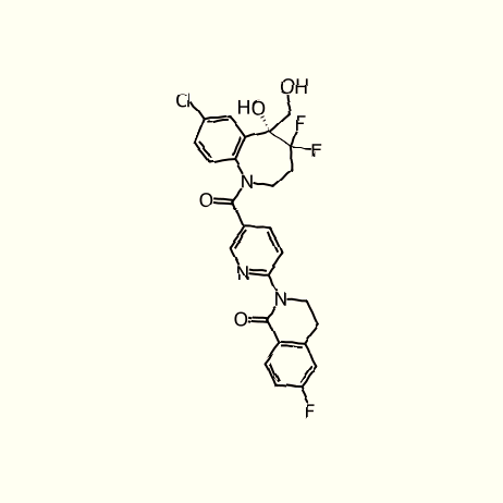 O=C1c2ccc(F)cc2CCN1c1ccc(C(=O)N2CCC(F)(F)[C@](O)(CO)c3cc(Cl)ccc32)cn1